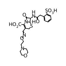 O=C(Cc1ccccc1S(=O)(=O)O)N[C@@H]1C(=O)N2C(C(=O)O)=C(/C=N/OCCN3CCOCC3)CS[C@H]12